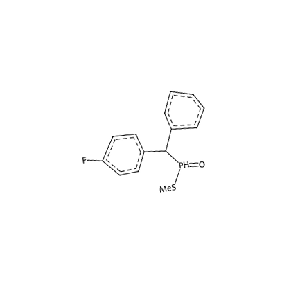 CS[PH](=O)C(c1ccccc1)c1ccc(F)cc1